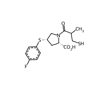 CC(CS)C(=O)N1C[C@@H](Sc2ccc(F)cc2)C[C@H]1C(=O)O